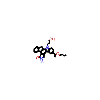 CCCCOC(C)c1ccc2c(c1)c1c3c(c4c(c1n2CCCO)Cc1ccccc1-4)C(=O)NC3